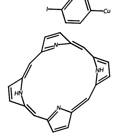 C1=Cc2cc3ccc(cc4nc(cc5ccc(cc1n2)[nH]5)C=C4)[nH]3.[Cu][c]1ccc(I)cc1